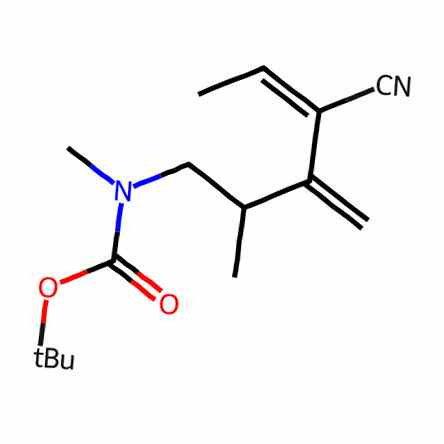 C=C(/C(C#N)=C\C)C(C)CN(C)C(=O)OC(C)(C)C